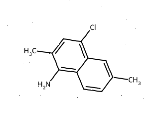 Cc1ccc2c(N)c(C)cc(Cl)c2c1